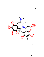 COC1=C(C)C(=O)C2=C(C1=O)[C@H](CCO)N1[C@@H](C2)C2=C(CC(N(C)C)[C@@H]1C)C(=O)C(OC)=C(OC)C2=O